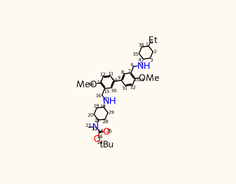 CC[C@H]1CC[C@H](NCc2cc(-c3ccc(OC)c(CN[C@H]4CC[C@H](N(C)C(=O)OC(C)(C)C)CC4)c3)ccc2OC)CC1